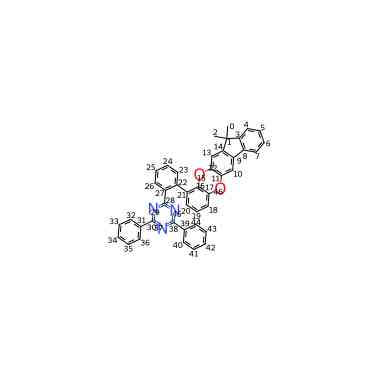 CC1(C)c2ccccc2-c2cc3c(cc21)Oc1c(cccc1-c1ccccc1-c1nc(-c2ccccc2)nc(-c2ccccc2)n1)O3